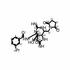 CC(C)c1cccc(C(=O)NC2CN3C(=N)NC(CN4C(=O)CCC4=O)C4NC(=N)NC43C2(O)O)c1